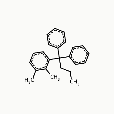 CCCC(c1ccccc1)(c1ccccc1)c1cccc(C)c1C